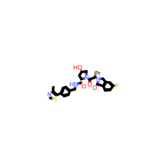 Cc1ncsc1-c1ccc(CNC(=O)[C@@H]2C[C@@H](O)CN2C(=O)C(C(C)C)N2Cc3cc(F)ccc3C2=O)cc1